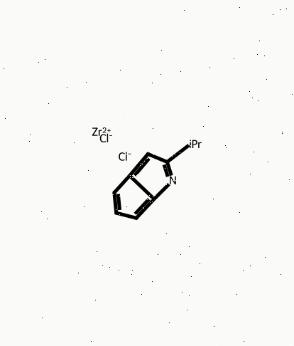 CC(C)C1=NC2=CC=CC2=C1.[Cl-].[Cl-].[Zr+2]